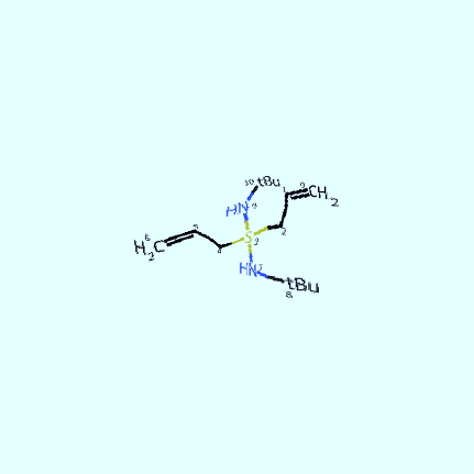 C=CCS(CC=C)(NC(C)(C)C)NC(C)(C)C